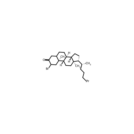 CC(C)CCC[C@@H](C)[C@H]1CC[C@H]2[C@@H]3CCC4CC(=O)C(Br)C[C@]4(C)[C@H]3CC[C@]12C